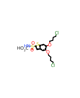 O=C(O)NS(=O)(=O)c1cc2cc(OCCCCCl)c(OCCCCCl)cc2s1